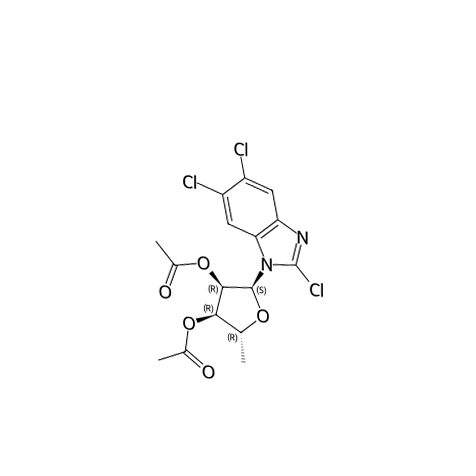 CC(=O)O[C@@H]1[C@H](OC(C)=O)[C@@H](C)O[C@@H]1n1c(Cl)nc2cc(Cl)c(Cl)cc21